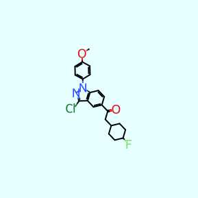 COc1ccc(-n2nc(Cl)c3cc(C(=O)CC4CCC(F)CC4)ccc32)cc1